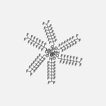 FC(F)C(F)(F)C(F)(F)C(F)(F)C(F)(F)C(F)(F)C(F)(F)CO[PH]1(OCC(F)(F)C(F)(F)C(F)(F)C(F)(F)C(F)(F)C(F)(F)C(F)F)N[PH](OCC(F)(F)C(F)(F)C(F)(F)C(F)(F)C(F)(F)C(F)(F)C(F)F)(OCC(F)(F)C(F)(F)C(F)(F)C(F)(F)C(F)(F)C(F)(F)C(F)F)N[PH](OCC(F)(F)C(F)(F)C(F)(F)C(F)(F)C(F)(F)C(F)(F)C(F)F)(OCC(F)(F)C(F)(F)C(F)(F)C(F)(F)C(F)(F)C(F)(F)C(F)F)N1